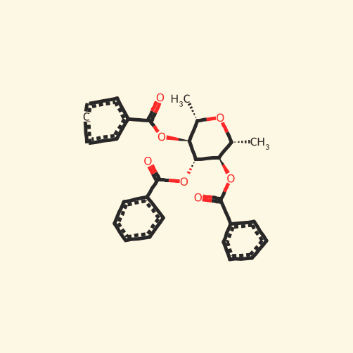 C[C@@H]1O[C@H](C)[C@@H](OC(=O)c2ccccc2)[C@H](OC(=O)c2ccccc2)[C@H]1OC(=O)c1ccccc1